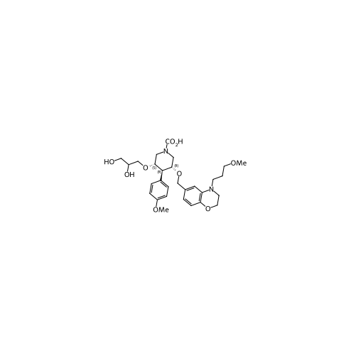 COCCCN1CCOc2ccc(CO[C@H]3CN(C(=O)O)C[C@@H](OCC(O)CO)[C@@H]3c3ccc(OC)cc3)cc21